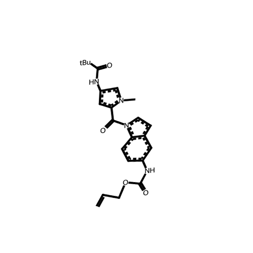 C=CCOC(=O)Nc1ccc2c(ccn2C(=O)c2cc(NC(=O)C(C)(C)C)cn2C)c1